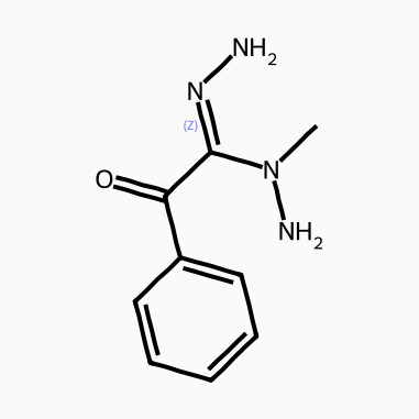 CN(N)/C(=N\N)C(=O)c1ccccc1